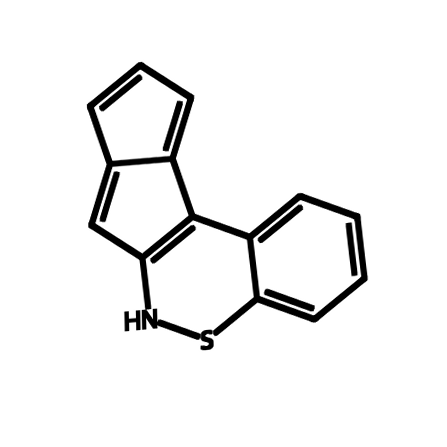 c1cc2cc3[nH]sc4ccccc4c=3c-2c1